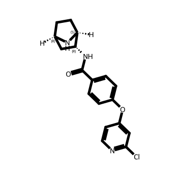 O=C(N[C@@H]1C[C@H]2CC[C@@H]1N2)c1ccc(Oc2ccnc(Cl)c2)cc1